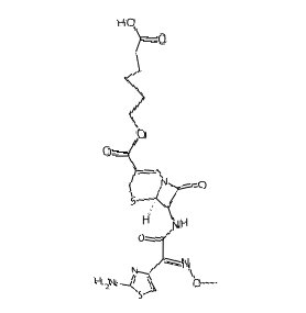 CON=C(C(=O)NC1C(=O)N2C=C(C(=O)OCCCCCC(=O)O)CS[C@H]12)c1csc(N)n1